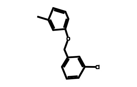 Cc1cccc(OCc2cccc(Cl)c2)c1